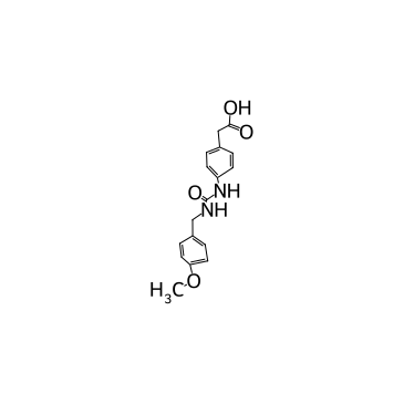 COc1ccc(CNC(=O)Nc2ccc(CC(=O)O)cc2)cc1